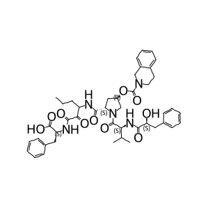 CCCC(NC(=O)[C@@H]1C[C@@H](OC(=O)N2CCc3ccccc3C2)CN1C(=O)[C@@H](NC(=O)[C@@H](O)Cc1ccccc1)C(C)C)C(=O)C(=O)N[C@@H](Cc1ccccc1)C(=O)O